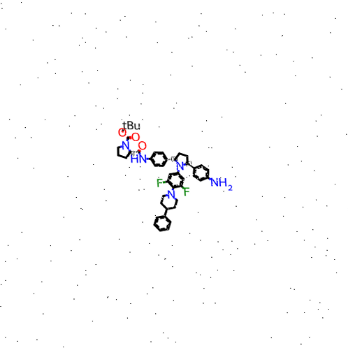 CC(C)(C)OC(=O)N1CCC[C@H]1C(=O)Nc1ccc([C@@H]2CC[C@@H](c3ccc(N)cc3)N2c2cc(F)c(N3CCC(c4ccccc4)CC3)c(F)c2)cc1